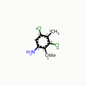 COc1c(N)cc(Cl)c(C)c1Cl